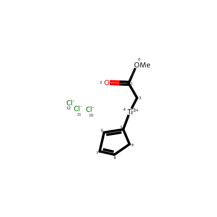 COC(=O)[CH2][Ti+3][C]1=CC=CC1.[Cl-].[Cl-].[Cl-]